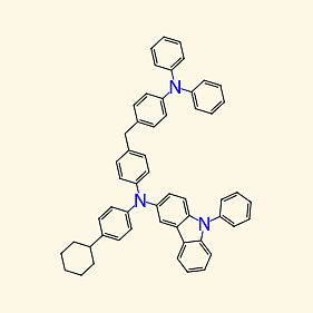 c1ccc(N(c2ccccc2)c2ccc(Cc3ccc(N(c4ccc(C5CCCCC5)cc4)c4ccc5c(c4)c4ccccc4n5-c4ccccc4)cc3)cc2)cc1